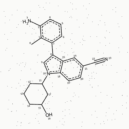 Cc1c(N)cccc1-c1cn(C2CCCC(O)C2)c2ccc(C#N)cc12